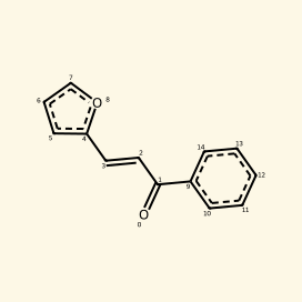 O=C(/C=C/c1ccco1)c1ccccc1